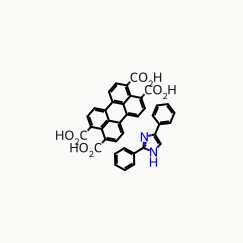 O=C(O)c1ccc2c3ccc(C(=O)O)c4c(C(=O)O)ccc(c5ccc(C(=O)O)c1c25)c43.c1ccc(-c2c[nH]c(-c3ccccc3)n2)cc1